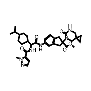 COC(=O)C1(N2CC3(CC3)CNC2=O)Cc2ccc(NC(=O)C(NC(=O)c3ccnn3C)C3CCC(C(C)C)CC3)cc2C1